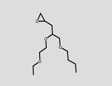 CCCCOCC(CC1CO1)OCCOCC